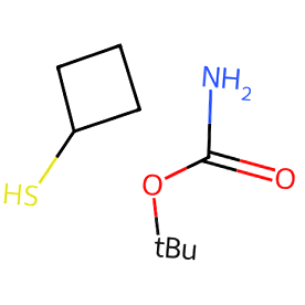 CC(C)(C)OC(N)=O.SC1CCC1